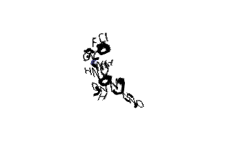 C=CC(=O)Nc1cc(NC(=N)/C=C(\C)N2OCC[C@@H]2c2cccc(Cl)c2F)c(OC)cc1N1CCC(N2CCN(C(C)=O)CC2)CC1